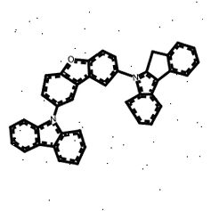 c1ccc2c(c1)Cc1c-2c2ccccc2n1-c1ccc2oc3ccc(-n4c5ccccc5c5ccccc54)cc3c2c1